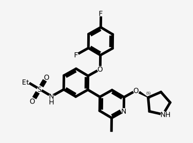 CCS(=O)(=O)Nc1ccc(Oc2ccc(F)cc2F)c(-c2cc(C)nc(O[C@H]3CCNC3)c2)c1